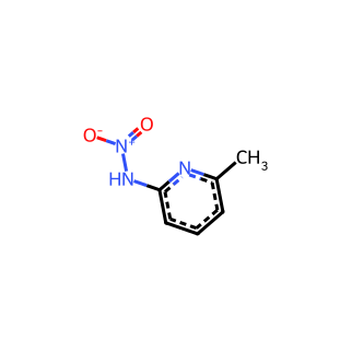 Cc1cccc(N[N+](=O)[O-])n1